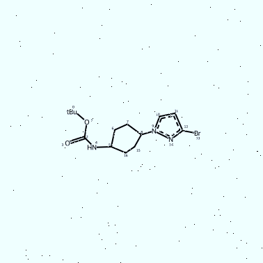 CC(C)(C)OC(=O)NC1CCC(n2ccc(Br)n2)CC1